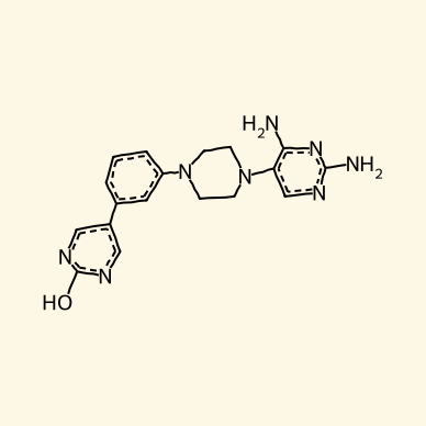 Nc1ncc(N2CCN(c3cccc(-c4cnc(O)nc4)c3)CC2)c(N)n1